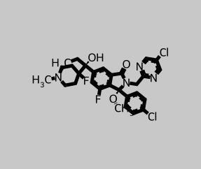 CC[C@@](O)(c1cc(F)c2c(c1)C(=O)N(Cc1ncc(Cl)cn1)[C@@]2(OC)c1ccc(Cl)cc1)C1(F)CCN(C)CC1